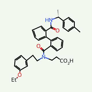 CCOc1cccc(CCN(CCC(=O)O)C(=O)c2ccccc2-c2ccccc2C(=O)N[C@H](C)c2ccc(C)cc2)c1